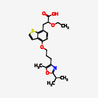 CCOC(Cc1ccc(OCCCc2nc(C(C)C)oc2C)c2ccsc12)C(=O)O